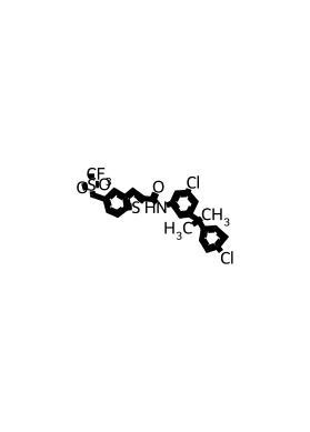 CC(C)(c1ccc(Cl)cc1)c1cc(Cl)cc(NC(=O)c2cc3cc(CS(=O)(=O)C(F)(F)F)ccc3s2)c1